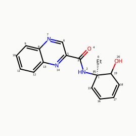 CC[C@@]1(NC(=O)c2cnc3ccccc3n2)C=CC=CC1O